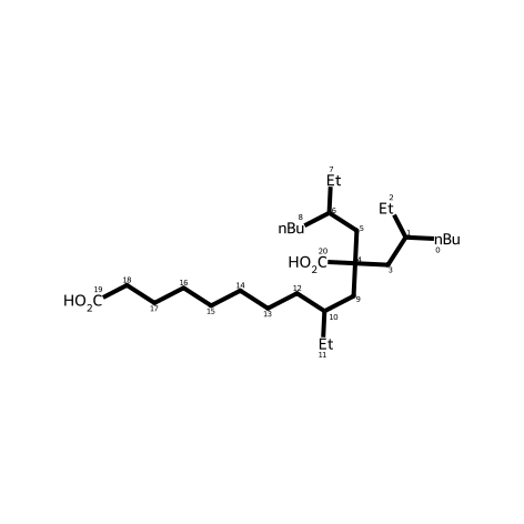 CCCCC(CC)CC(CC(CC)CCCC)(CC(CC)CCCCCCCC(=O)O)C(=O)O